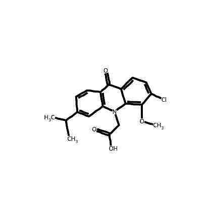 COc1c(Cl)ccc2c(=O)c3ccc(C(C)C)cc3n(CC(=O)O)c12